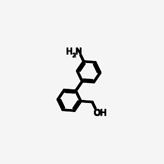 Nc1cccc(-c2ccccc2CO)c1